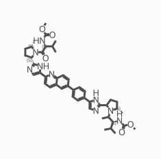 COC(=O)N[C@@H](C(C)C)C(C)N1C(c2ncc(-c3ccc(-c4ccc5nc(-c6cnc([C@@H]7CC[C@H](C)N7C(=O)[C@@H](NC(=O)OC)C(C)C)[nH]6)ccc5c4)cc3)[nH]2)CC[C@@H]1C